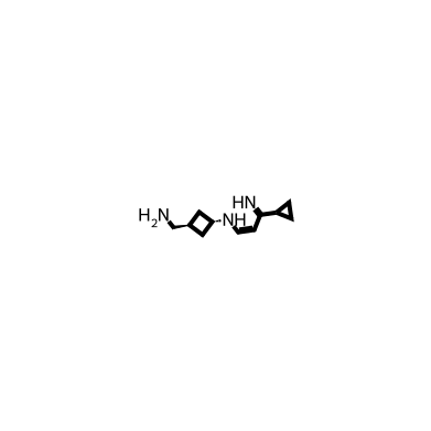 N=C(/C=C\N[C@H]1C[C@H](CN)C1)C1CC1